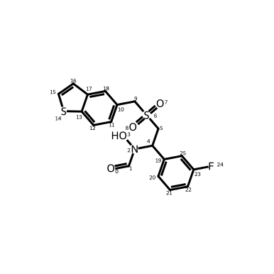 O=CN(O)C(CS(=O)(=O)Cc1ccc2sccc2c1)c1cccc(F)c1